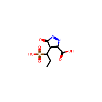 CCC(C1=C(C(=O)O)N=NC1=O)S(=O)(=O)O